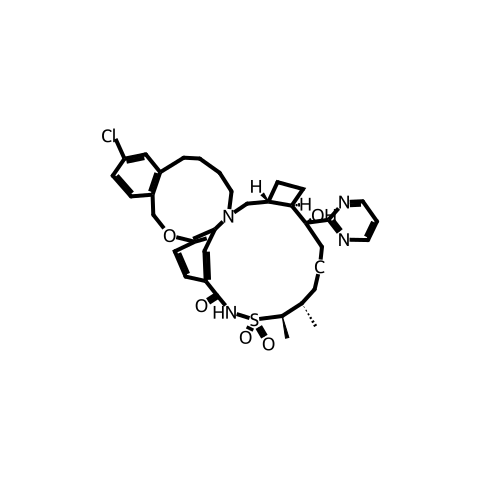 C[C@@H]1[C@@H](C)CCC[C@](O)(c2ncccn2)[C@@H]2CC[C@H]2CN2CCCCc3cc(Cl)ccc3COc3ccc(cc32)C(=O)NS1(=O)=O